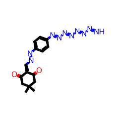 CC1(C)CC(=O)C(=CN=Nc2ccc(N=NN=NN=NN=N)cc2)C(=O)C1